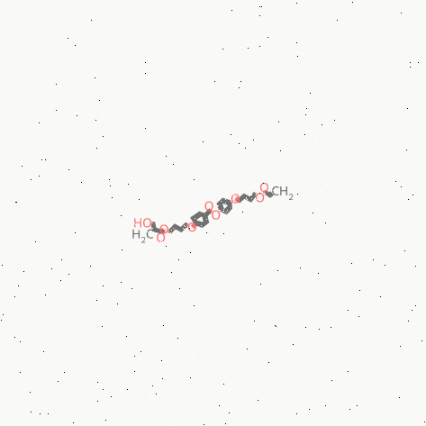 C=CC(=O)OCCCCOc1ccc(OC(=O)c2ccc(OCCCCOC(=O)C(=C)CO)cc2)cc1